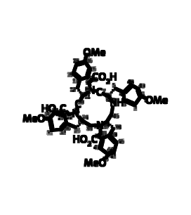 COc1ccc(C[C@H]2CN(CC(=O)O)[C@@H](Cc3ccc(OC)cc3)CN(CC(=O)O)[C@@H](Cc3ccc(OC)cc3)CN(CC(=O)O)[C@@H](Cc3ccc(OC)cc3)CN2)cc1